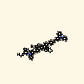 Cc1cc(C)cc(-n2c3ccccc3c3cc(-c4ccc5c(c4)C(C)(C)c4cc6c(cc4-5)C(C)(C)c4cc(-c5ccc(/C=C/c7ccc8c(c7)c7ccccc7n8-c7ccccc7)cc5)ccc4-6)ccc32)c1